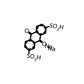 O=C1c2ccc(S(=O)(=O)O)cc2C(=O)c2cc(S(=O)(=O)O)ccc21.[Na].[Na]